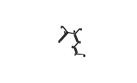 C=C(C)/C(C)=C\C=C/C